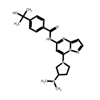 CN(C)C1CCN(c2cc(NC(=O)c3ccc(C(C)(C)O)cc3)nc3ccnn23)C1